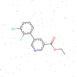 CCOC(=O)c1cncc(-c2cccc(Cl)c2F)c1